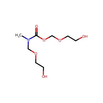 CN(COCCO)C(=O)OCOCCO